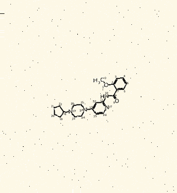 COc1ccccc1C(=O)Nc1cc(N2CCN(C3CCCC3)CC2)ccn1